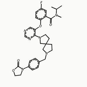 CC(C)N(C)C(=O)c1cc(F)ccc1Oc1cncnc1N1CCC2(CCN(Cc3ccc(N4CCOC4=O)cc3)C2)C1